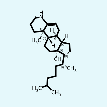 CC(C)CCC[C@@H](C)[C@H]1CC[C@H]2[C@@H]3CC=C4N[CH]CC[C@]4(C)[C@H]3CC[C@]12C